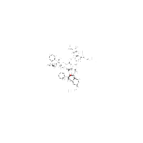 C=C[C@@H]1C[C@]1(NC(=O)[C@@H]1C[C@@H](Oc2cc(-c3ccccc3)nc3cc(OC)ccc23)CN1C(=O)C(CN(C)S(=O)(=O)c1ccccc1[N+](=O)[O-])NC(=O)OC(C)(C)C)C(=O)NS(=O)(=O)C1CC1